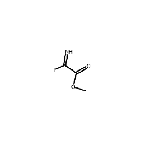 COC(=O)C(=N)I